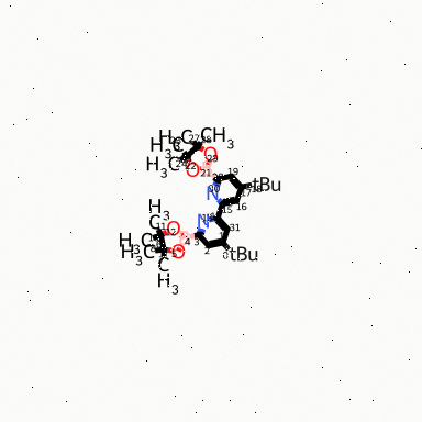 CC(C)(C)c1cc(B2OC(C)(C)C(C)(C)O2)nc(-c2cc(C(C)(C)C)cc(B3OC(C)(C)C(C)(C)O3)n2)c1